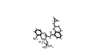 CC(C)(O)CN(Cc1ncccc1Br)C(=O)CNc1cccc2c1CN(CC1CC1)CC2